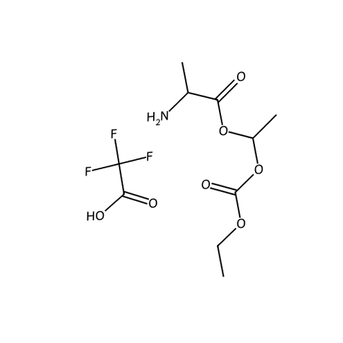 CCOC(=O)OC(C)OC(=O)C(C)N.O=C(O)C(F)(F)F